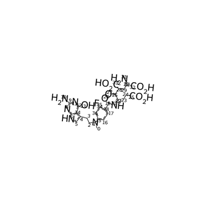 CN(CCc1c[nH]c2nc(N)nc(O)c12)c1ccc(C(=O)N[C@@H](CCC(=O)O)C(=O)C(C[C@H](N)C(=O)O)C(=O)O)c(F)c1